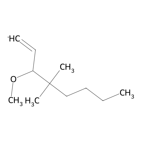 [CH]=CC(OC)C(C)(C)CCCC